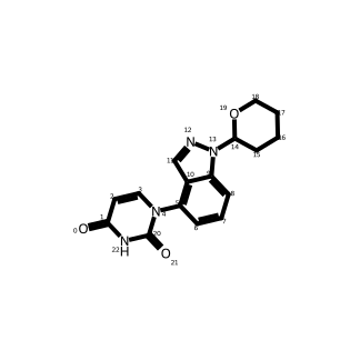 O=c1ccn(-c2cccc3c2cnn3C2CCCCO2)c(=O)[nH]1